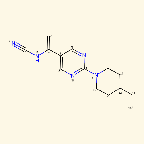 C=C(NC#N)c1cnc(N2CCC(CC)CC2)nc1